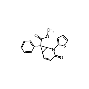 COC(=O)C1(c2ccccc2)C2C=CC(=O)N(c3cccs3)C21